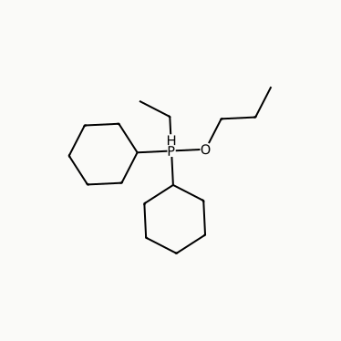 CCCO[PH](CC)(C1CCCCC1)C1CCCCC1